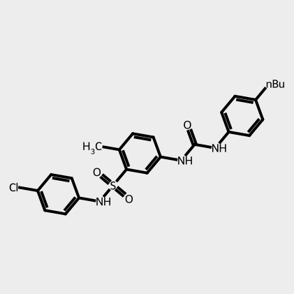 CCCCc1ccc(NC(=O)Nc2ccc(C)c(S(=O)(=O)Nc3ccc(Cl)cc3)c2)cc1